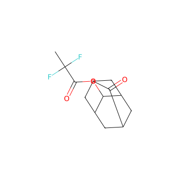 CC(F)(F)C(=O)OC1C2CC3CC1CC(C2)C3=O